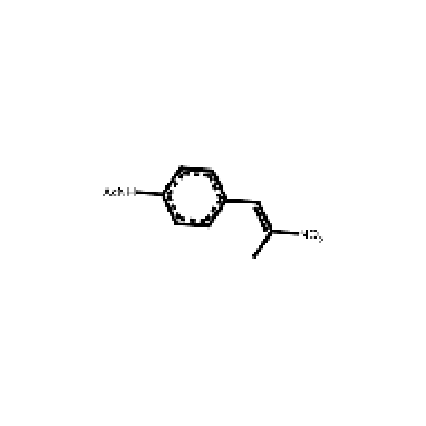 CC(=O)Nc1ccc(C=C(C)[N+](=O)[O-])cc1